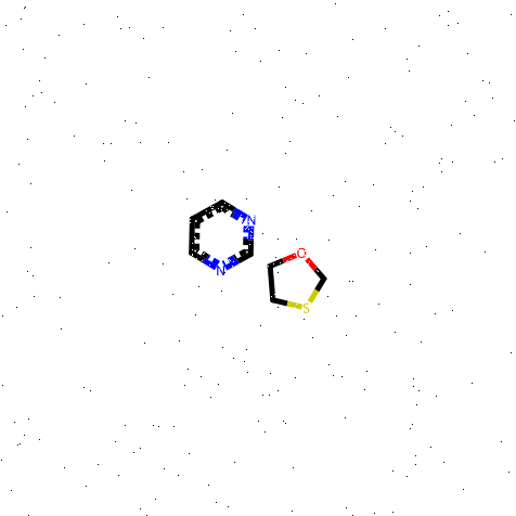 C1CSCO1.c1cncnc1